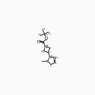 CC1CC=NN1C1CN(C(=O)OC(C)(C)C)C1